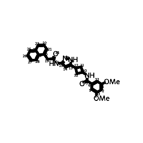 COc1cc(OC)cc(C(=O)NC2CC(c3cc(NC(=O)Cc4cccc5ccccc45)n[nH]3)C2)c1